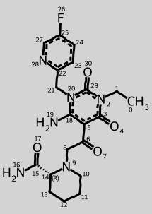 CCn1c(=O)c(C(=O)CN2CCCC[C@@H]2C(N)=O)c(N)n(Cc2ccc(F)cn2)c1=O